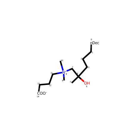 CCCCCCCCCCCCCC(C)(O)C[N+](C)(C)CCCC(=O)[O-]